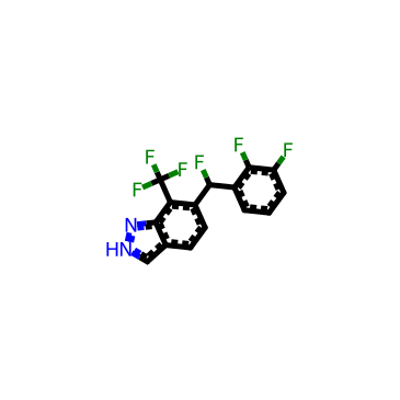 Fc1cccc(C(F)c2ccc3c[nH]nc3c2C(F)(F)F)c1F